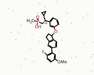 COc1ccc(F)c(-c2ccc3c(c2)CCC3Oc2cccc([C@@H](CP(C)(=O)O)C3CC3)c2)c1